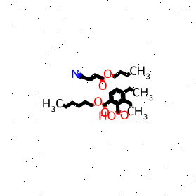 CCCCCCOC(=O)c1ccc(CC)c(CC)c1C(=O)O.CCCCOC(=O)C=CC#N